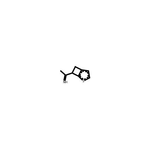 CC(=N)C1Cc2ccsc21